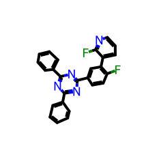 Fc1ccc(-c2nc(-c3ccccc3)nc(-c3ccccc3)n2)cc1-c1cccnc1F